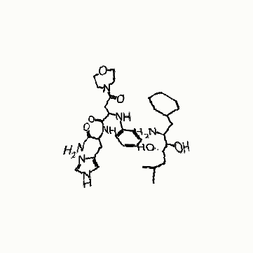 CC(C)C[C@H](O)[C@H](O)[C@@H](N)CC1CCCCC1.NC(=O)C(Cc1c[nH]cn1)NC(=O)C(CC(=O)N1CCOCC1)Nc1ccccc1